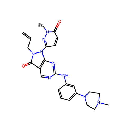 C=CCn1c(=O)c2cnc(Nc3cccc(N4CCN(C)CC4)c3)nc2n1-c1ccc(=O)n(C(C)C)n1